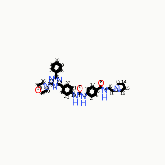 O=C(Nc1ccc(C(=O)NCCN2CCCC2)cc1)Nc1ccc(-c2nc(-c3ccccc3)nc(N3CCOCC3)n2)cc1